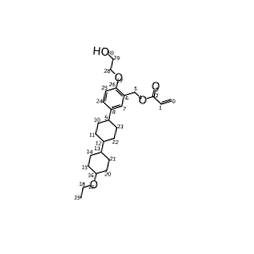 C=CC(=O)OCc1cc(C2CCC(C3CCC(OCC)CC3)CC2)ccc1OCCO